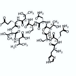 CC(C)[C@H](NC(=O)[C@@H](NC(=O)[C@H](CCC(=O)O)NC(=O)[C@@H](NC(=O)[C@H](CO)NC(=O)[C@H](CC(N)=O)NC(=O)[C@@H](NC(=O)[C@H](CO)NC(=O)[C@H](CCC(N)=O)NC(=O)[C@@H](N)Cc1c[nH]cn1)[C@@H](C)O)[C@@H](C)O)[C@@H](C)O)C(=O)O